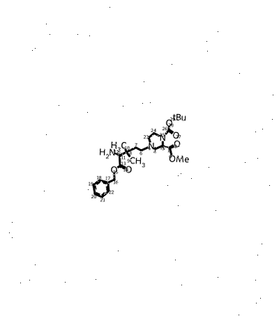 COC(=O)[C@H]1CN(CCC(C)(C)[C@H](N)C(=O)OCc2ccccc2)CCN1C(=O)OC(C)(C)C